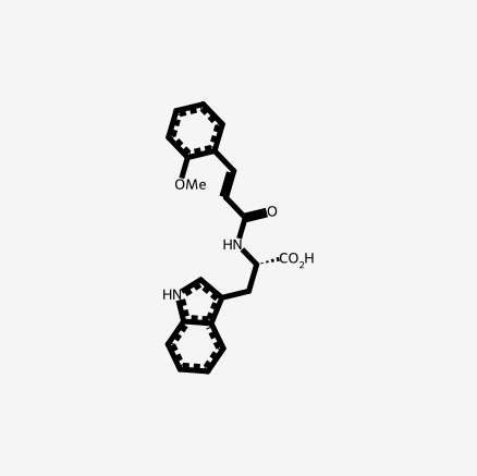 COc1ccccc1C=CC(=O)N[C@@H](Cc1c[nH]c2ccccc12)C(=O)O